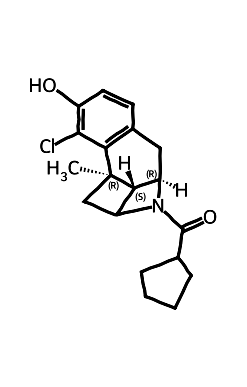 C[C@@]12CC3[C@H]1[C@@H](Cc1ccc(O)c(Cl)c12)N3C(=O)C1CCCC1